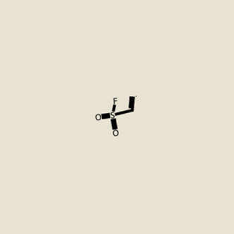 [CH]=CS(=O)(=O)F